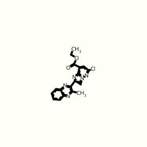 CCOC(=O)c1cc(Cl)nn2cc(-c3nc4ccccc4nc3C)nc12